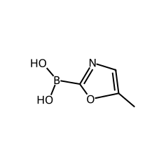 Cc1cnc(B(O)O)o1